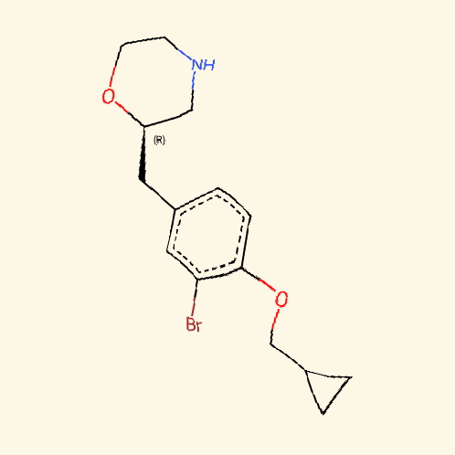 Brc1cc(C[C@@H]2CNCCO2)ccc1OCC1CC1